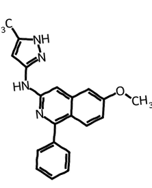 COc1ccc2c(-c3ccccc3)nc(Nc3cc(C)[nH]n3)cc2c1